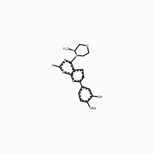 COc1ccc(-c2ccc3c(N4CCOC[C@@H]4C)nc(Cl)nc3n2)cc1O